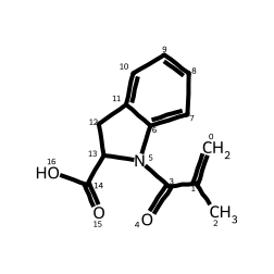 C=C(C)C(=O)N1c2ccccc2CC1C(=O)O